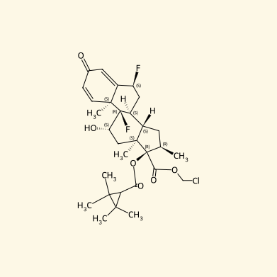 C[C@@H]1C[C@H]2[C@@H]3C[C@H](F)C4=CC(=O)C=C[C@]4(C)[C@@]3(F)[C@@H](O)C[C@]2(C)[C@@]1(OC(=O)C1C(C)(C)C1(C)C)C(=O)OCCl